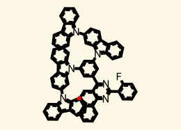 Fc1ccccc1-c1nc(-c2cc(-n3c4ccccc4c4ccc(-n5c6ccccc6c6ccccc65)cc43)cc(-n3c4ccccc4c4ccc(-n5c6ccccc6c6ccccc65)cc43)c2)c2ccc3ccccc3c2n1